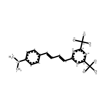 CN(C)c1ccc(C=CC=Cc2nc(C(Cl)(Cl)Cl)nc(C(Cl)(Cl)Cl)n2)cc1